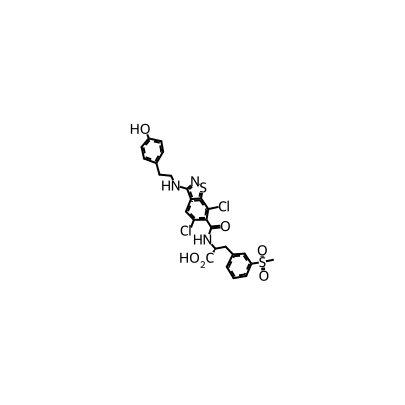 CS(=O)(=O)c1cccc(C[C@H](NC(=O)c2c(Cl)cc3c(NCCc4ccc(O)cc4)nsc3c2Cl)C(=O)O)c1